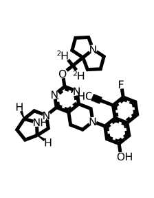 [2H]C([2H])(Oc1nc2c(c(N3C[C@H]4CC[C@@H](C3)N4)n1)CCN(c1cc(O)cc3ccc(F)c(C#C)c13)C2)C12CCCN1CCC2